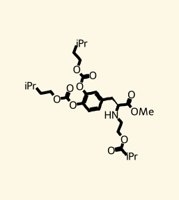 COC(=O)[C@H](Cc1ccc(OC(=O)OCCC(C)C)c(OC(=O)OCCC(C)C)c1)NCCOC(=O)C(C)C